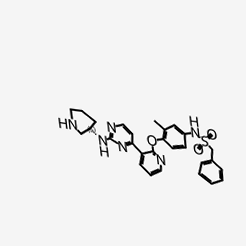 Cc1cc(NS(=O)(=O)Cc2ccccc2)ccc1Oc1ncccc1-c1ccnc(N[C@H]2CCCNC2)n1